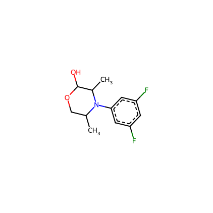 CC1COC(O)C(C)N1c1cc(F)cc(F)c1